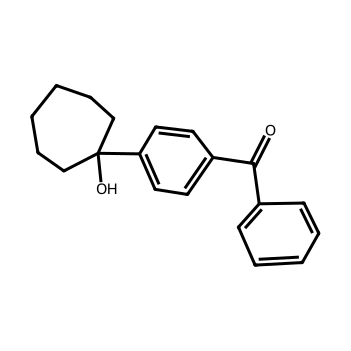 O=C(c1ccccc1)c1ccc(C2(O)CCCCCC2)cc1